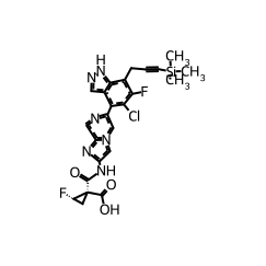 C[Si](C)(C)C#CCc1c(F)c(Cl)c(-c2cn3cc(NC(=O)[C@]4(C(=O)O)C[C@@H]4F)nc3cn2)c2cn[nH]c12